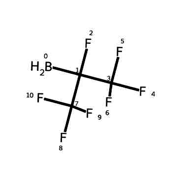 BC(F)(C(F)(F)F)C(F)(F)F